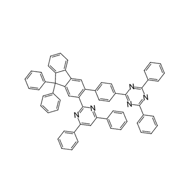 c1ccc(-c2cc(-c3ccccc3)nc(-c3cc4c(cc3-c3ccc(-c5nc(-c6ccccc6)nc(-c6ccccc6)n5)cc3)-c3ccccc3C4(c3ccccc3)c3ccccc3)n2)cc1